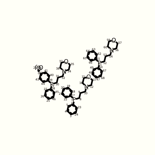 C=O.[Rh].c1ccc(P(CCCN2CCOCC2)c2ccccc2)cc1.c1ccc(P(CCCN2CCOCC2)c2ccccc2)cc1.c1ccc(P(CCCN2CCOCC2)c2ccccc2)cc1